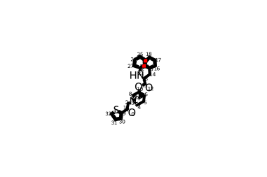 O=C(C[N+]12CCC(CC1)C(OC(=O)C(Cc1ccccc1)Nc1ccccc1)C2)c1cccs1